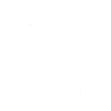 c1cc2c(cc1CC1CCC(Cc3ccc4c(c3)OCO4)CC1)OCO2